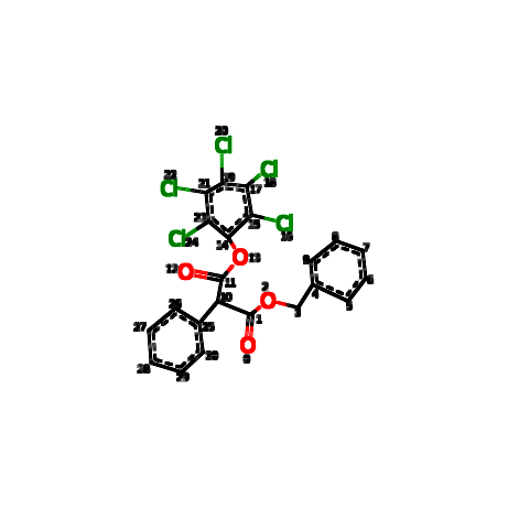 O=C(OCc1ccccc1)C(C(=O)Oc1c(Cl)c(Cl)c(Cl)c(Cl)c1Cl)c1ccccc1